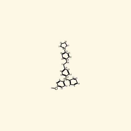 COc1ccc(N(c2ccccc2)c2ccc(CCc3ccc(N4CCCC4)cc3)cc2)cc1